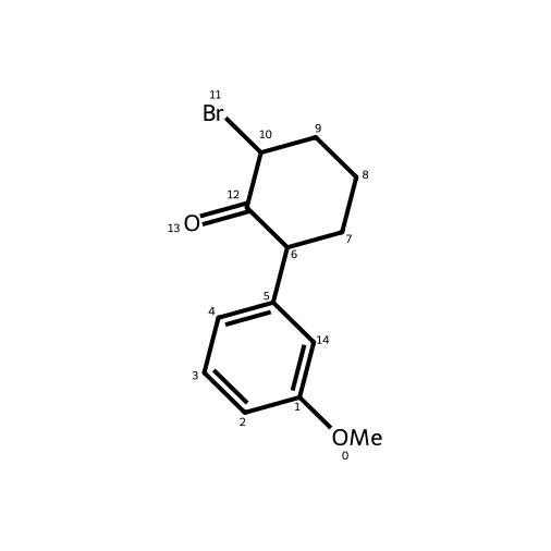 COc1cccc(C2CCCC(Br)C2=O)c1